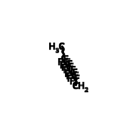 C=CC(F)(F)C(F)(F)C(F)(F)C(F)(F)C(F)(F)C(F)(F)C(F)(F)C(F)(F)CC/C=C/C